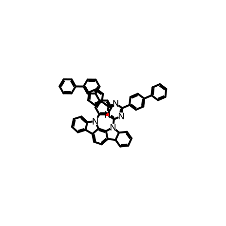 C1=CC2c3ccc4c5ccccc5n(-c5cccc(-c6cccc(-c7ccccc7)c6)c5)c4c3N(c3nc(-c4ccccc4)nc(-c4ccc(-c5ccccc5)cc4)n3)C2C=C1